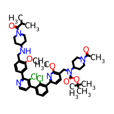 COc1cc(-c2nccc(-c3cccc(-c4ccc(CN(C(=O)OC(C)(C)C)C5CCN(C(C)=O)CC5)c(OC)n4)c3Cl)c2Cl)ccc1CNC1CCN(C(=O)C(C)C)CC1